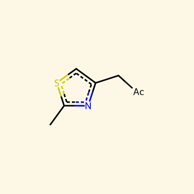 CC(=O)Cc1csc(C)n1